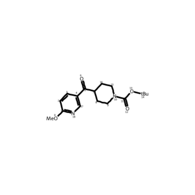 COc1ccc(C(=O)C2CCN(C(=O)OC(C)(C)C)CC2)cn1